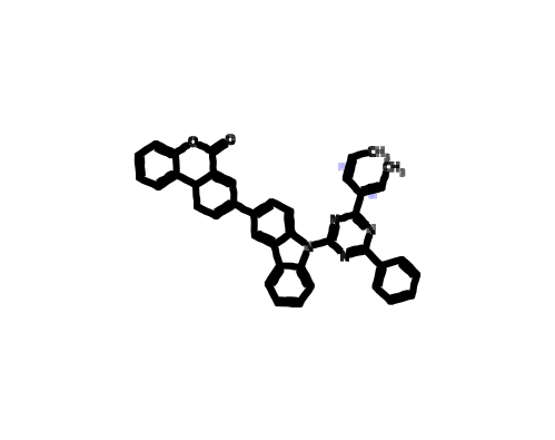 C/C=C\C(=C/C)c1nc(-c2ccccc2)nc(-n2c3ccccc3c3cc(C4=CCC5C(=C4)C(=O)Oc4ccccc45)ccc32)n1